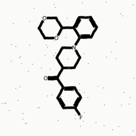 O=C(c1ccc(F)cc1)C1CCN(c2ccccc2C2COCCO2)CC1